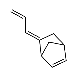 C=CC=C1CC2C=CC1C2